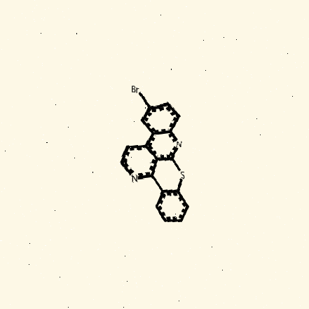 Brc1ccc2nc3c4c(nccc4c2c1)-c1ccccc1S3